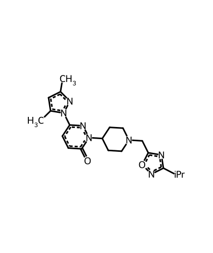 Cc1cc(C)n(-c2ccc(=O)n(C3CCN(Cc4nc(C(C)C)no4)CC3)n2)n1